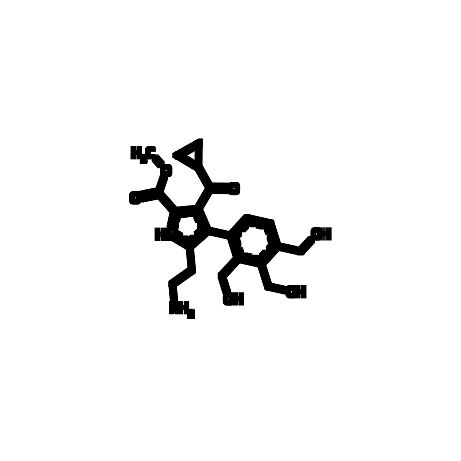 COC(=O)c1[nH]c(CCN)c(-c2ccc(CO)c(CO)c2CO)c1C(=O)C1CC1